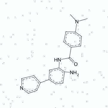 CN(C)c1ccc(C(=O)Nc2cc(-c3ccncc3)ccc2N)cc1